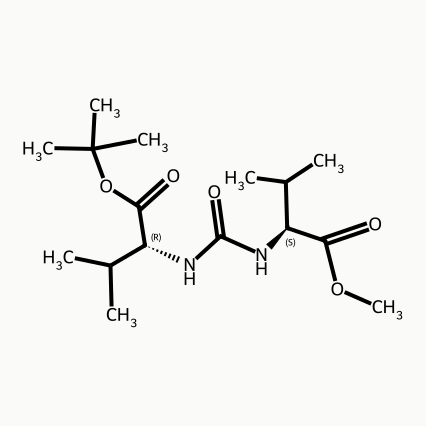 COC(=O)[C@@H](NC(=O)N[C@@H](C(=O)OC(C)(C)C)C(C)C)C(C)C